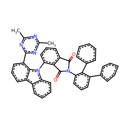 Cc1nc(C)nc(-c2cccc3c4ccccc4n(-c4cccc5c4C(=O)N(c4cccc(-c6ccccc6)c4-c4ccccc4)C5=O)c23)n1